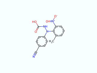 Cc1cccc([N+](=O)[O-])c1N(NC(=O)O)c1ccc(C#N)cc1